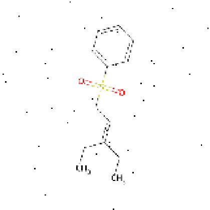 CCC(=CCS(=O)(=O)c1ccccc1)CC